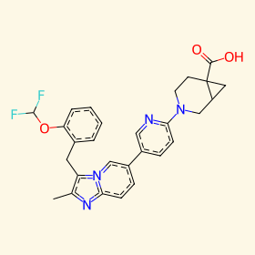 Cc1nc2ccc(-c3ccc(N4CCC5(C(=O)O)CC5C4)nc3)cn2c1Cc1ccccc1OC(F)F